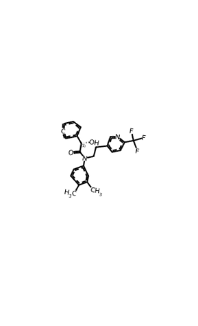 Cc1ccc(N(CCc2ccc(C(F)(F)F)nc2)C(=O)[C@@H](O)c2ccccc2)cc1C